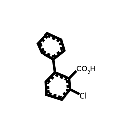 O=C(O)c1c(Cl)cccc1-c1ccccc1